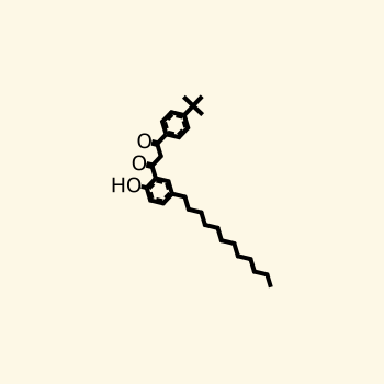 CCCCCCCCCCCCc1ccc(O)c(C(=O)CC(=O)c2ccc(C(C)(C)C)cc2)c1